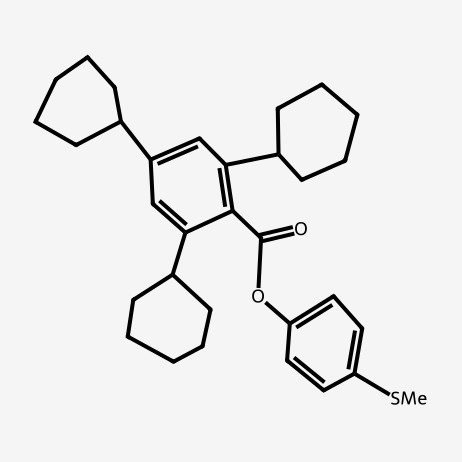 CSc1ccc(OC(=O)c2c(C3CCCCC3)cc(C3CCCCC3)cc2C2CCCCC2)cc1